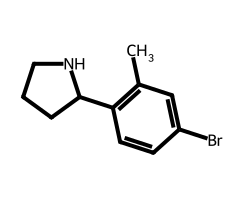 Cc1cc(Br)ccc1C1CCCN1